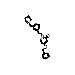 O=c1cc(OCc2ccccc2)ccn1CCc1cccc(CN2CCCC2)c1